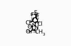 CC1=NN(c2c(Cl)cc(C(F)(F)F)cc2Cl)C(=O)C1C=O